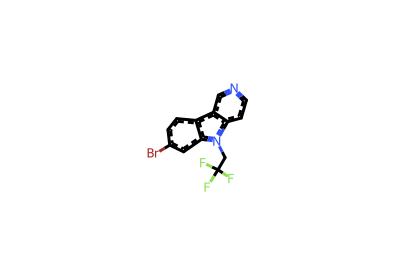 FC(F)(F)Cn1c2ccncc2c2ccc(Br)cc21